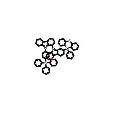 c1ccc([Si](c2ccccc2)(c2ccccc2)c2ccc(-n3c4ccccc4c4cccc(-n5c6ccccc6c6ccc([Si]7(c8ccccc8)c8ccccc8Sc8ccccc87)cc65)c43)cc2)cc1